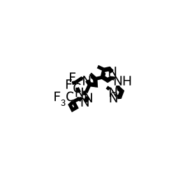 Cc1cnc(Nc2ccnn2C)cc1-c1cc2n(c1)CC(F)(F)Cn1c-2nnc1C1(C(F)(F)F)CCC1